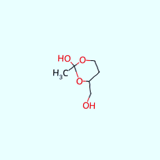 CC1(O)OCCC(CO)O1